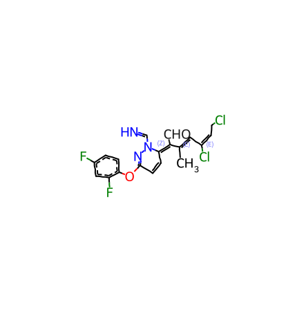 CC(=C\C(Cl)=C/CCl)/C(C=O)=C1\C=CC(Oc2ccc(F)cc2F)=NN1C=N